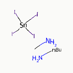 CCCCN.CN.[I][Sn]([I])([I])[I]